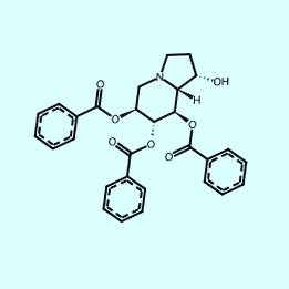 O=C(O[C@H]1[C@H](OC(=O)c2ccccc2)[C@@H](OC(=O)c2ccccc2)CN2CC[C@H](O)[C@H]12)c1ccccc1